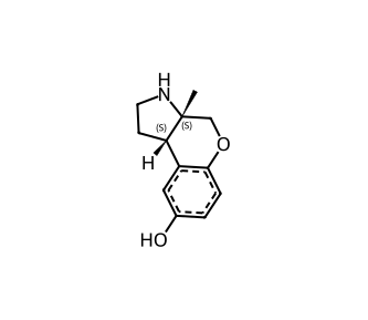 C[C@@]12COc3ccc(O)cc3[C@@H]1CCN2